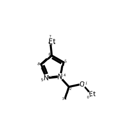 CCOC(C)n1cc(CC)cn1